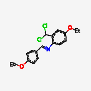 CCOc1ccc(C=Nc2ccc(OCC)cc2C(Cl)Cl)cc1